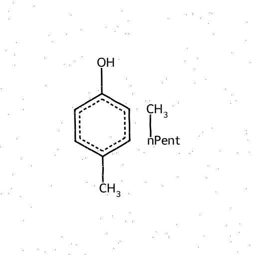 CCCCCC.Cc1ccc(O)cc1